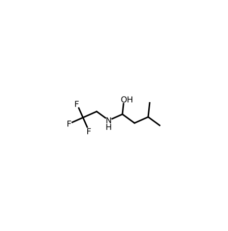 CC(C)CC(O)NCC(F)(F)F